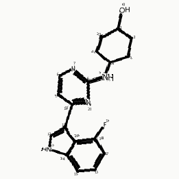 OC1CCC(Nc2nccc(-c3c[nH]c4cccc(F)c34)n2)CC1